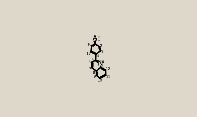 CC(=O)c1ccc(-c2ccc3ccccc3n2)cc1